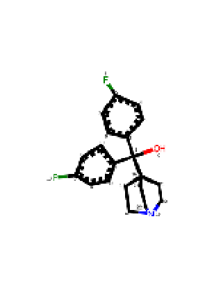 OC(c1ccc(F)cc1)(c1ccc(F)cc1)C12CCN(CC1)CC2